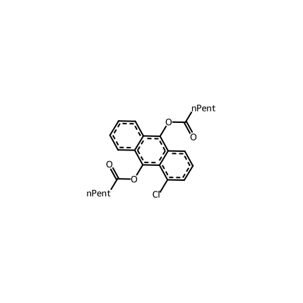 CCCCCC(=O)Oc1c2ccccc2c(OC(=O)CCCCC)c2c(Cl)cccc12